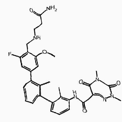 COc1cc(-c2cccc(-c3cccc(NC(=O)c4nn(C)c(=O)n(C)c4=O)c3C)c2C)cc(F)c1CNCCC(N)=O